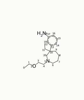 CCOCCN1CCCCC(CC)(c2cccc(N)c2)C1